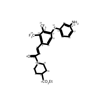 CCOC(=O)C1CCN(C(=O)C=Cc2ccc(Sc3cccc(N)c3)c(C(F)(F)F)c2C(F)(F)F)CC1